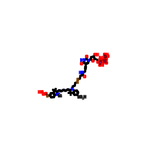 CC[N+]1=C(/C=C/C=C/C=C2/N(CCCSSCCC(=O)NCC#Cc3cn([C@H]4C[C@@H](O)[C@@H](COP(=O)(O)OP(=O)(O)OP(=O)(O)O)O4)c(=O)[nH]c3=O)c3ccc(S(=O)(=O)O)cc3C2(C)C)C(C)(C)c2cc(SOOO)ccc21